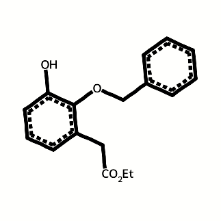 CCOC(=O)Cc1cccc(O)c1OCc1ccccc1